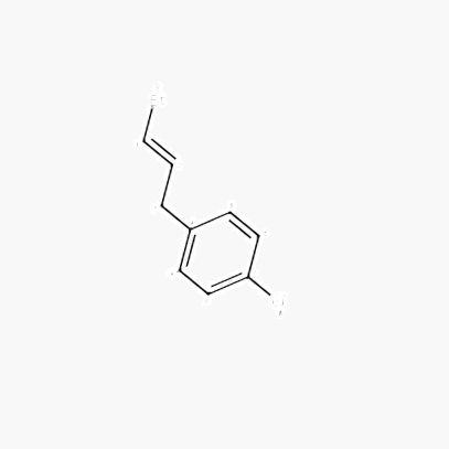 [CH2]C/C=C/Cc1ccc(Cl)cc1